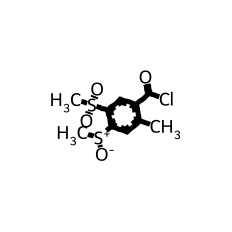 Cc1cc([S+](C)[O-])c(S(C)(=O)=O)cc1C(=O)Cl